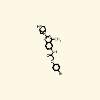 Cc1nc(N2CC3CC2CN3)nc2ccc(NC(=O)COc3ccc(Br)cc3)cc12